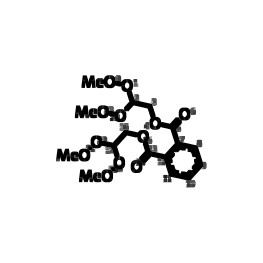 COOC(COC(=O)c1ccccc1C(=O)OCC(OOC)OOC)OOC